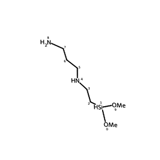 CO[SiH](CCNCCCN)OC